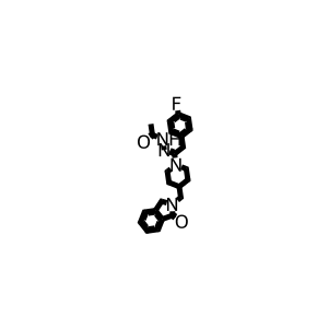 CC(=O)NN=C(Cc1ccc(F)cc1)N1CCC(CN2Cc3ccccc3C2=O)CC1